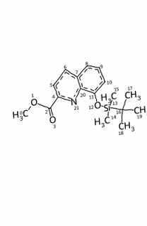 COC(=O)c1ccc2cccc(O[Si](C)(C)C(C)(C)C)c2n1